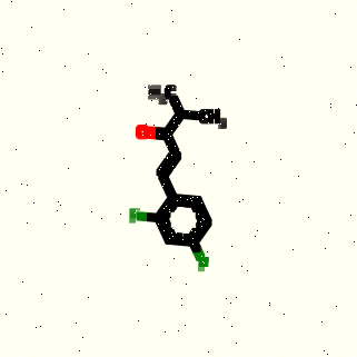 CC(C)C(=O)C=Cc1ccc(F)cc1F